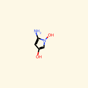 Nc1cc(O)cn1O